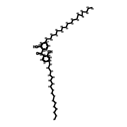 CCCCCCCCCCCCCCCCCCc1ccc(C(=O)c2ccc(CCCCCCCCCCCCCCCCCC)cc2O)c(O)c1